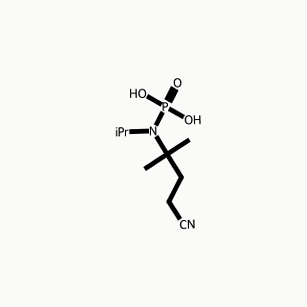 CC(C)N(C(C)(C)CCC#N)P(=O)(O)O